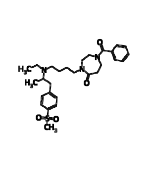 CCN(CCCCN1CCN(C(=O)c2ccccc2)CCC1=O)C(C)Cc1ccc(S(C)(=O)=O)cc1